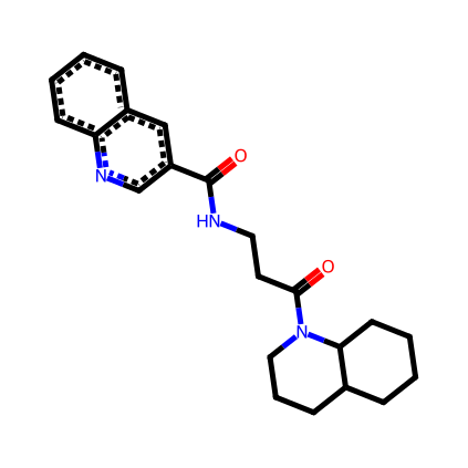 O=C(NCCC(=O)N1CCCC2CCCCC21)c1cnc2ccccc2c1